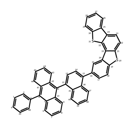 c1ccc(-c2c3ccccc3c(-c3ccc(-c4ccc5sc6ccc7c8ccccc8sc7c6c5c4)c4ccccc34)c3ccccc23)cc1